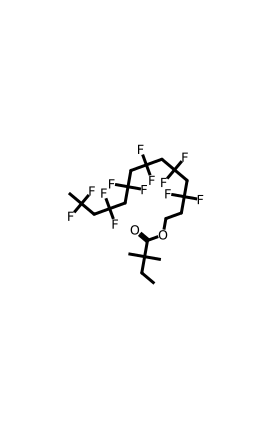 CCC(C)(C)C(=O)OCCC(F)(F)CC(F)(F)CC(F)(F)CC(F)(F)CC(F)(F)CC(C)(F)F